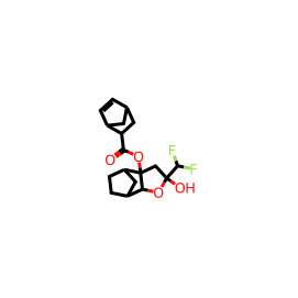 O=C(OC12CC(O)(C(F)F)OC1C1CCC2C1)C1CC2C=CC1C2